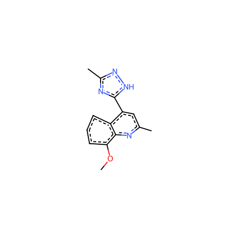 COc1cccc2c(-c3nc(C)n[nH]3)cc(C)nc12